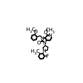 COc1ccccc1Cn1c(=O)n(C2CCN(c3c(C)cccc3F)C2)c2ccnc(OC)c21